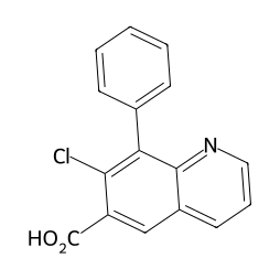 O=C(O)c1cc2cccnc2c(-c2ccccc2)c1Cl